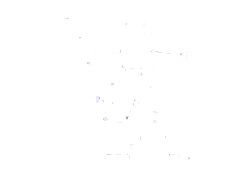 CC(=O)Oc1cccc2c1C1(O)C[C@@H](C(=O)O)N(C(=O)OC(C)(C)C)C1N2